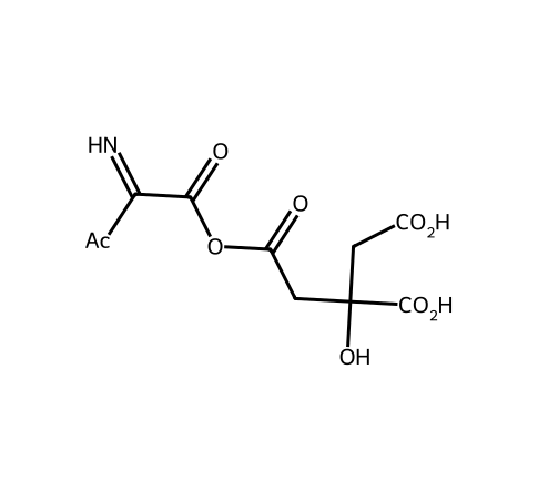 CC(=O)C(=N)C(=O)OC(=O)CC(O)(CC(=O)O)C(=O)O